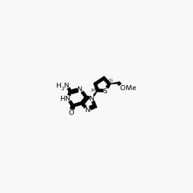 COC[C@@H]1CC[C@H](n2cnc3c(=O)[nH]c(N)nc32)S1